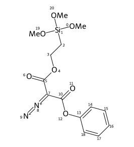 CO[Si](CCOC(=O)C(=[N+]=[N-])C(=O)Oc1ccccc1)(OC)OC